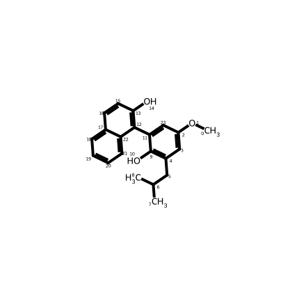 COc1cc(CC(C)C)c(O)c(-c2c(O)ccc3ccccc23)c1